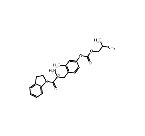 Cc1cc(OC(=O)OCC(C)C)ccc1C[C@H](N)C(=O)N1CCc2ccccc21